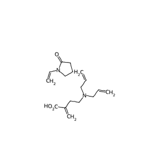 C=CCN(CC=C)CCC(=C)C(=O)O.C=CN1CCCC1=O